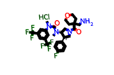 CN(C(=O)N(C)[C@@H]1CN(C(=O)C2(CN)CCOCC2)C[C@H]1c1ccc(F)cc1)c1cc(C(F)(F)F)cc(C(F)(F)F)c1.Cl